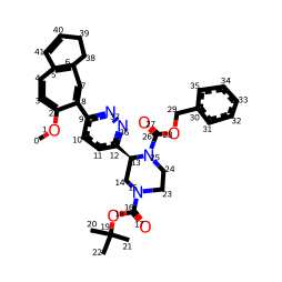 COC1=C=CC2=C(C=C1c1ccc([C@@H]3CN(C(=O)OC(C)(C)C)CCN3C(=O)OCc3ccccc3)nn1)CCC=C2